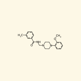 COc1ccccc1N1CCN(CNC(=O)c2cccc(C)c2)CC1